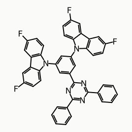 Fc1ccc2c(c1)c1cc(F)ccc1n2-c1cc(-c2nc(-c3ccccc3)nc(-c3ccccc3)n2)cc(-n2c3ccc(F)cc3c3cc(F)ccc32)c1